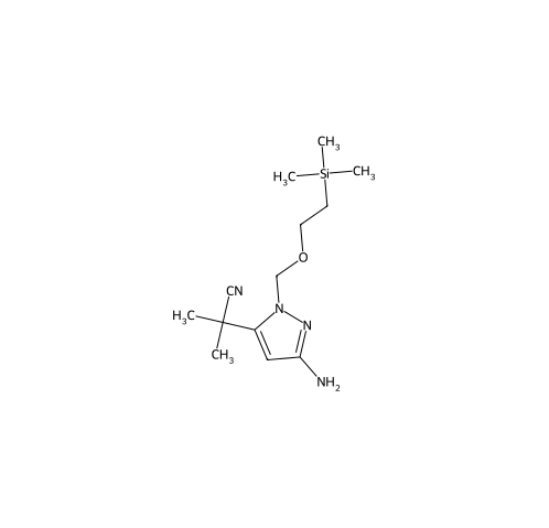 CC(C)(C#N)c1cc(N)nn1COCC[Si](C)(C)C